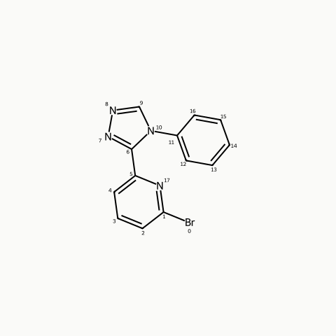 Brc1cccc(-c2nncn2-c2ccccc2)n1